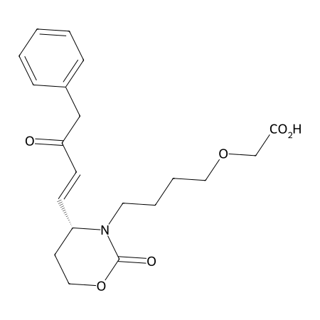 O=C(O)COCCCCN1C(=O)OCC[C@@H]1/C=C/C(=O)Cc1ccccc1